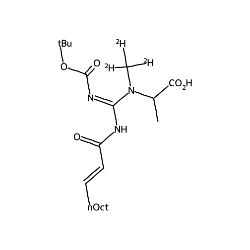 [2H]C([2H])([2H])N(/C(=N\C(=O)OC(C)(C)C)NC(=O)C=CCCCCCCCC)C(C)C(=O)O